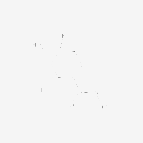 C[C@@H]1C[C@](F)(C(=O)O)CCN1C(=O)OC(C)(C)C